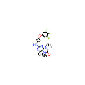 Cc1nc(N[C@H]2C[C@H](Oc3cc(F)c(F)c(F)c3)C2)nc2c1N(C(C)C)C(=O)CN2C